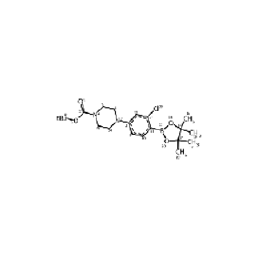 CC(C)(C)OC(=O)N1CCN(c2ccc(B3OC(C)(C)C(C)(C)O3)c(Cl)c2)CC1